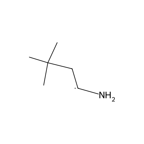 CC(C)(C)C[CH]N